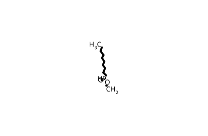 C=CO[PH](=O)CCCCCCCCCC